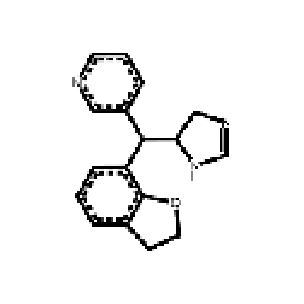 C1=NCC(C(c2cccnc2)c2cccc3c2OCC3)N1